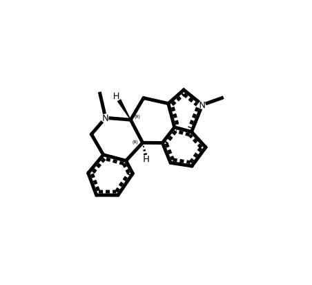 CN1Cc2ccccc2[C@@H]2c3cccc4c3c(cn4C)C[C@H]21